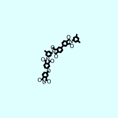 Cc1cc(C)cc(N2C(=O)c3ccc(-c4ccc5c(c4)C(=O)N(c4cc(C)cc(N6C(=O)c7ccc(Oc8ccc9c(c8)C(=O)N(C)C9=O)cc7C6=O)c4)C5=O)cc3C2=O)c1